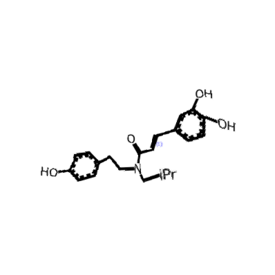 CC(C)CN(CCc1ccc(O)cc1)C(=O)/C=C/c1ccc(O)c(O)c1